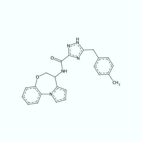 Cc1ccc(Cc2nc(C(=O)NC3COc4ccccc4-n4cccc43)n[nH]2)cc1